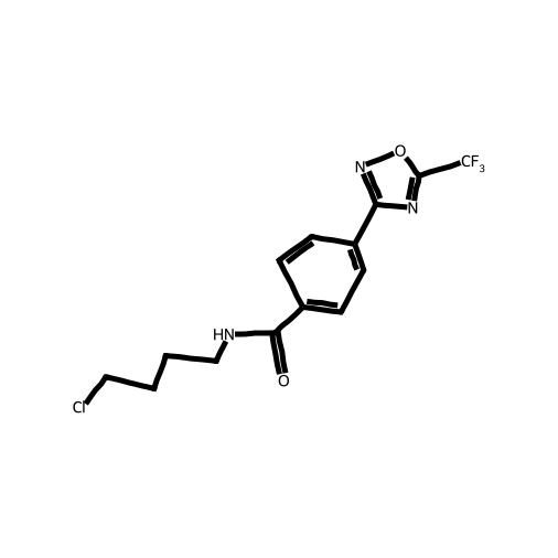 O=C(NCCCCCl)c1ccc(-c2noc(C(F)(F)F)n2)cc1